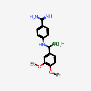 CCOc1cc(C(Nc2ccc(C(=N)N)cc2)C(=O)O)ccc1OC(C)C.Cl